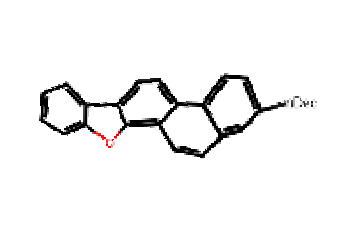 CCCCCCCCCCc1ccc2c(ccc3c2ccc2c4ccccc4oc23)c1